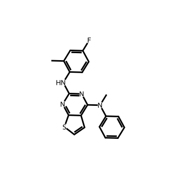 Cc1cc(F)ccc1Nc1nc(N(C)c2ccccc2)c2ccsc2n1